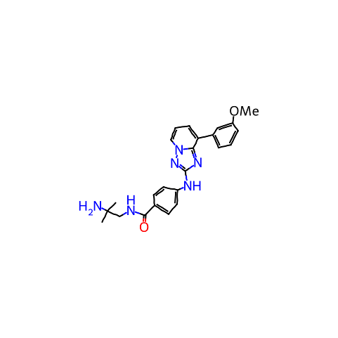 COc1cccc(-c2cccn3nc(Nc4ccc(C(=O)NCC(C)(C)N)cc4)nc23)c1